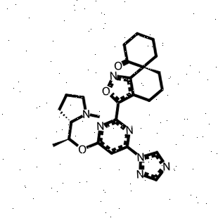 C[C@H](Oc1cc(-n2cncn2)nc(-c2onc3c2CCC[C@@]32CCCCC2=O)n1)[C@@H]1CCCN1C